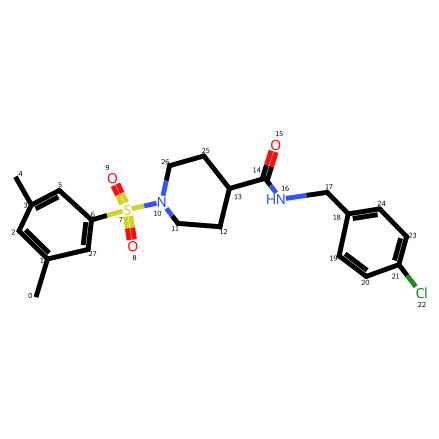 Cc1cc(C)cc(S(=O)(=O)N2CCC(C(=O)NCc3ccc(Cl)cc3)CC2)c1